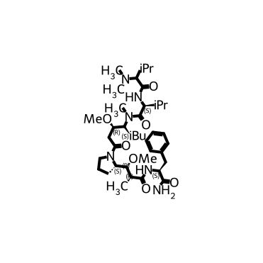 CC[C@H](C)C([C@@H](CC(=O)N1CCC[C@H]1[C@H](OC)[C@@H](C)C(=O)N[C@@H](Cc1ccccc1)C(N)=O)OC)N(C)C(=O)[C@@H](NC(=O)C(C(C)C)N(C)C)C(C)C